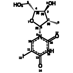 C[C@H]1[C@H](O)[C@@H](CO)O[C@H]1n1cc(I)c(=O)[nH]c1=O